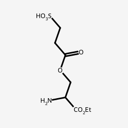 CCOC(=O)C(N)COC(=O)CCS(=O)(=O)O